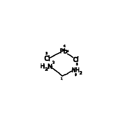 NCN.[Cl][Pb][Cl]